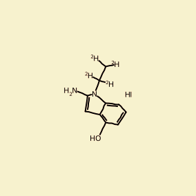 I.[2H]C([2H])C([2H])([2H])n1c(N)cc2c(O)cccc21